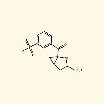 CS(=O)(=O)c1cccc(C(=O)C23CC2CC(C(=O)O)N3)c1